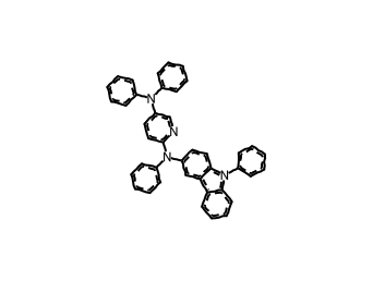 c1ccc(N(c2ccccc2)c2ccc(N(c3ccccc3)c3ccc4c(c3)c3ccccc3n4-c3ccccc3)nc2)cc1